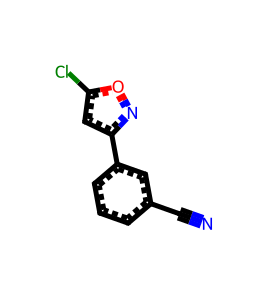 N#Cc1cccc(-c2cc(Cl)on2)c1